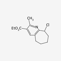 CCOC(=O)c1cc2c(nc1C)C(Cl)CCCC2